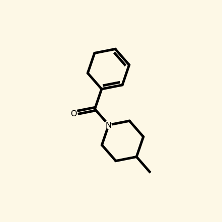 CC1CCN(C(=O)C2=CC=CCC2)CC1